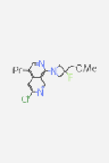 COCC1(F)CN(c2ncc(C(C)C)c3cc(Cl)ncc23)C1